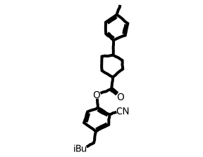 CCC(C)Cc1ccc(OC(=O)C2CCC(c3ccc(C)cc3)CC2)c(C#N)c1